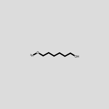 [2H]OCCCCCCO